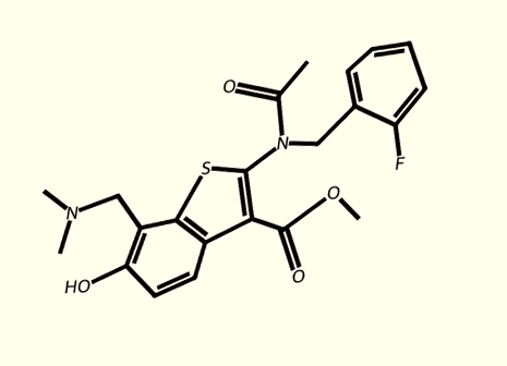 COC(=O)c1c(N(Cc2ccccc2F)C(C)=O)sc2c(CN(C)C)c(O)ccc12